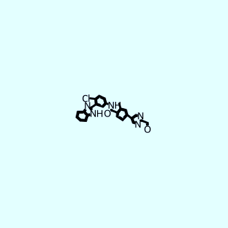 Cc1cc(-c2cnc(C=O)nc2)ccc1C(=O)Nc1ccc(Cl)c(-c2nc3ccccc3[nH]2)c1